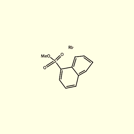 COS(=O)(=O)c1cccc2ccccc12.[Rb]